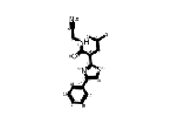 CC(C)CC(C(=O)NCC#N)c1nc(-c2ccccc2)cs1